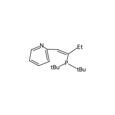 CCC(=Cc1ccccn1)P(C(C)(C)C)C(C)(C)C